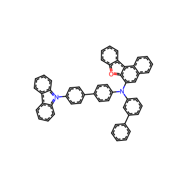 c1ccc(-c2cccc(N(c3ccc(-c4ccc(-n5c6ccccc6c6ccccc65)cc4)cc3)c3cc4ccccc4c4c3oc3ccccc34)c2)cc1